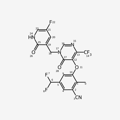 Cc1c(C#N)cc(C(F)F)cc1Oc1c(C(F)(F)F)ncn(Cc2cc(F)c[nH]c2=O)c1=O